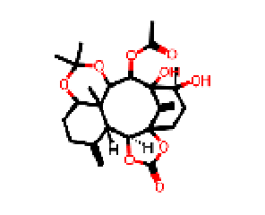 C=C1CCC2OC(C)(C)OC3C(OC(C)=O)C4(O)C(=C)C5(CC[C@@]4(C)O)OC(=O)O[C@H]5[C@H]1C23C